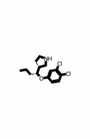 CCC[C@@H](Oc1ccc(Cl)c(Cl)c1)[C@@H]1CCNC1